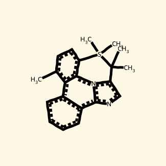 Cc1ccc2c3c1c1ccccc1c1ncc(n13)C(C)(C)S2(C)C